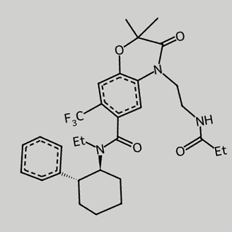 CCC(=O)NCCN1C(=O)C(C)(C)Oc2cc(C(F)(F)F)c(C(=O)N(CC)[C@H]3CCCC[C@@H]3c3ccccc3)cc21